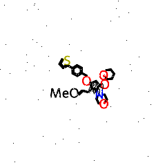 COC=CC[C@@H]1[C@@H](N2CCOCC2)[C@H](OC2CCCCO2)C[C@@H]1OCc1ccc(-c2cccs2)cc1